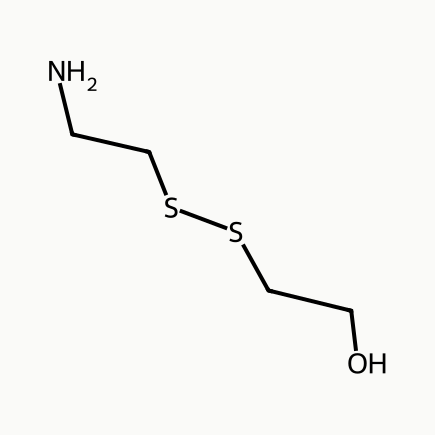 NCCSSCCO